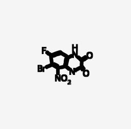 O=C1[N]c2c(cc(F)c(Br)c2[N+](=O)[O-])NC1=O